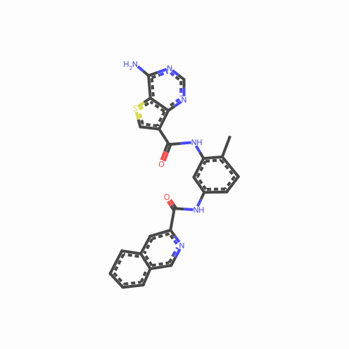 Cc1ccc(NC(=O)c2cc3ccccc3cn2)cc1NC(=O)c1csc2c(N)ncnc12